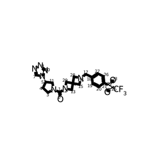 O=C(N1CC[C@H](n2cnnn2)C1)N1CC2(CN(Cc3ccc(S(=O)(=O)C(F)(F)F)cc3)C2)C1